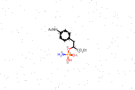 CCOC(=O)C(Cc1ccc(NC(C)=O)cc1)OP(N)(=O)O